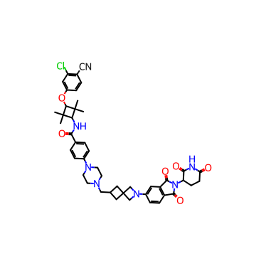 CC1(C)C(NC(=O)c2ccc(N3CCN(CC4CC5(C4)CN(c4ccc6c(c4)C(=O)N(C4CCC(=O)NC4=O)C6=O)C5)CC3)cc2)C(C)(C)C1Oc1ccc(C#N)c(Cl)c1